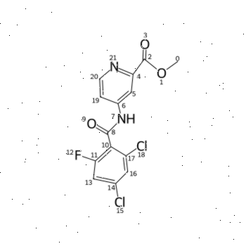 COC(=O)c1cc(NC(=O)c2c(F)cc(Cl)cc2Cl)ccn1